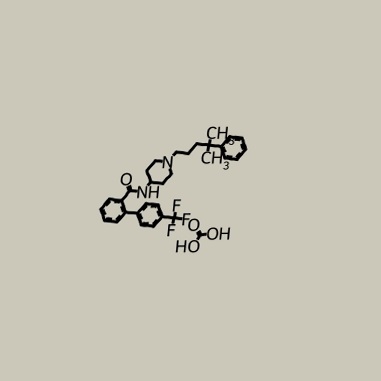 CC(C)(CCCN1CCC(NC(=O)c2ccccc2-c2ccc(C(F)(F)F)cc2)CC1)c1ccccc1.O=C(O)O